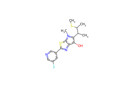 CSC(C)C(C)c1c(O)c2nc(-c3cncc(F)c3)sc2n1C